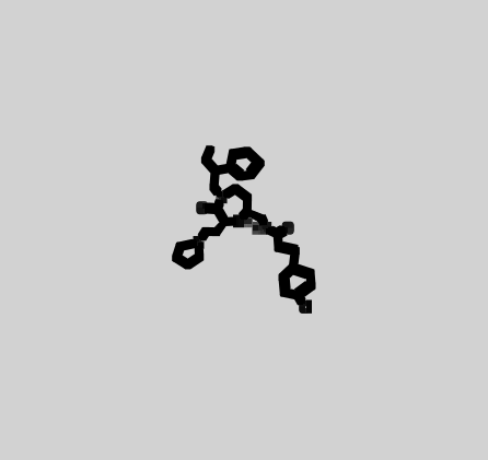 CCC(CN1CC[C@@H](CNC(=O)C=Cc2ccc(Cl)cc2)N[C@@H](CCN2CCCC2)C1=O)c1ccccc1